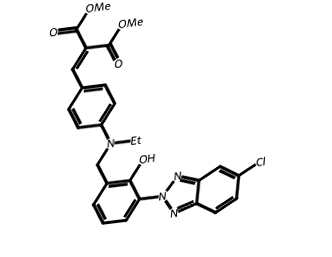 CCN(Cc1cccc(-n2nc3ccc(Cl)cc3n2)c1O)c1ccc(C=C(C(=O)OC)C(=O)OC)cc1